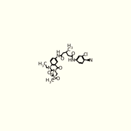 CCn1c(=O)n(CS(C)(=O)=O)c(=O)c2cc(NC(=O)CC(C)CC(=O)Nc3ccc(C#N)c(Cl)c3)ccc21